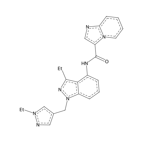 CCc1nn(Cc2cnn(CC)c2)c2cccc(NC(=O)c3cnc4ccccn34)c12